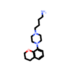 NCCCCN1CCN(c2cccc3c2OCCC3)CC1